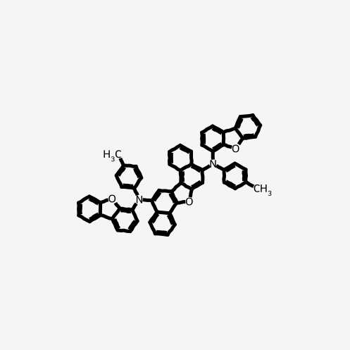 Cc1ccc(N(c2cc3c(oc4cc(N(c5ccc(C)cc5)c5cccc6c5oc5ccccc56)c5ccccc5c43)c3ccccc23)c2cccc3c2oc2ccccc23)cc1